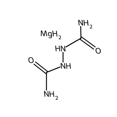 NC(=O)NNC(N)=O.[MgH2]